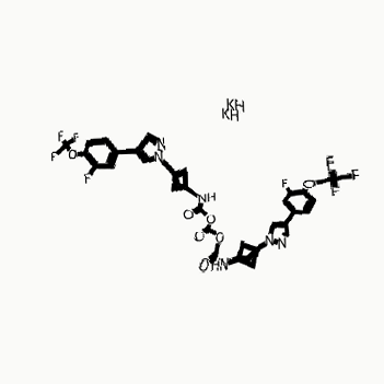 O=C(NC12CC(n3cc(-c4ccc(OC(F)(F)F)c(F)c4)cn3)(C1)C2)OC(=O)OC(=O)NC12CC(n3cc(-c4ccc(OC(F)(F)F)c(F)c4)cn3)(C1)C2.[KH].[KH]